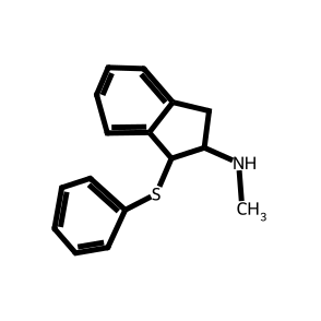 CNC1Cc2ccccc2C1Sc1ccccc1